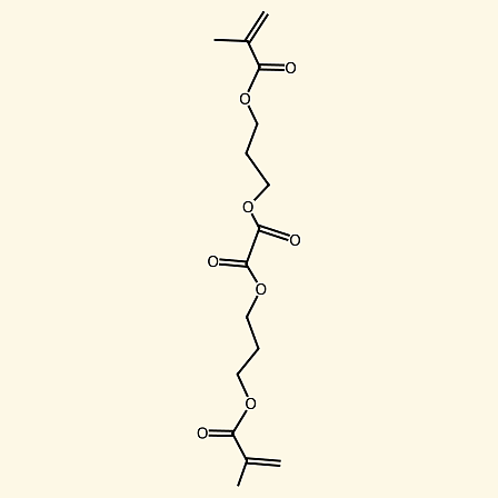 C=C(C)C(=O)OCCCOC(=O)C(=O)OCCCOC(=O)C(=C)C